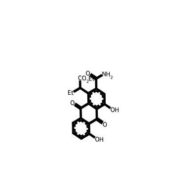 CCOC(=O)C(CC)c1c(C(N)=O)cc(O)c2c1C(=O)c1cccc(O)c1C2=O